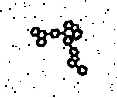 c1ccc(-c2cccc3c2oc2ccc(-c4ccc(N(c5ccc(-c6cc7ccccc7c7ccccc67)cc5)c5cccc6sc7ccccc7c56)cc4)cc23)cc1